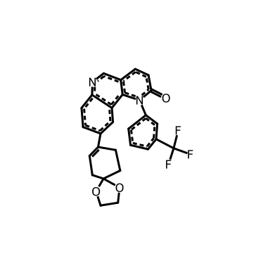 O=c1ccc2cnc3ccc(C4=CCC5(CC4)OCCO5)cc3c2n1-c1cccc(C(F)(F)F)c1